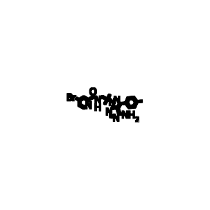 Cc1ccc(-c2nn(C(C)(C)CNC(=O)c3cc(Br)ccn3)c3ncnc(N)c23)cc1